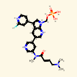 CN(C)C/C=C/C(=O)N(C)c1cncc(-c2cnc3c(c2)c(-c2ccnc(F)c2)cn3COP(=O)(O)O)c1